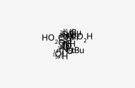 CC[C@H](C)[C@H](N[N+]1(CC(CC(C)C)NC(=O)[C@H](CC2CCCCC2)NC(=O)OC(C)(C)C)CCC[C@H]1C(=O)O)C(=O)O